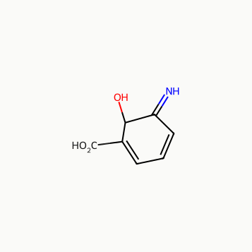 N=C1C=CC=C(C(=O)O)C1O